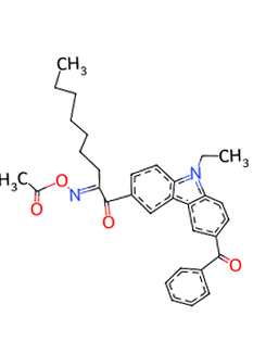 CCCCCCC/C(=N\OC(C)=O)C(=O)c1ccc2c(c1)c1cc(C(=O)c3ccccc3)ccc1n2CC